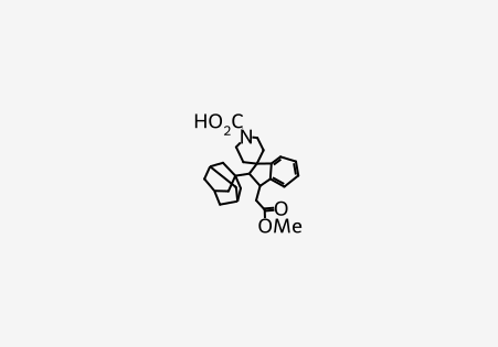 COC(=O)CC1c2ccccc2C2(CCN(C(=O)O)CC2)C1C12CC3CC(CC(C3)C1)C2